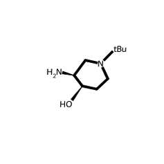 CC(C)(C)N1CC[C@@H](O)[C@@H](N)C1